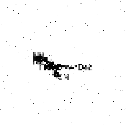 CCCCCCCCCCCCCCCCCCOC[C@H](COP(=O)(O)OC[C@@H]1CC[C@](C#N)(c2ccc3c(N)ncnn23)O1)OCc1cncc(C#N)c1